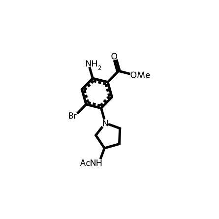 COC(=O)c1cc(N2CCC(NC(C)=O)C2)c(Br)cc1N